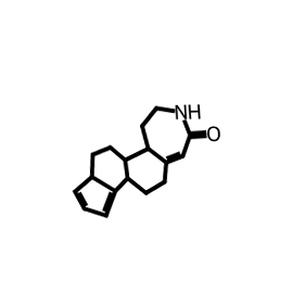 O=C1C=C2CCC3C4=CC=CC4CCC3C2CCN1